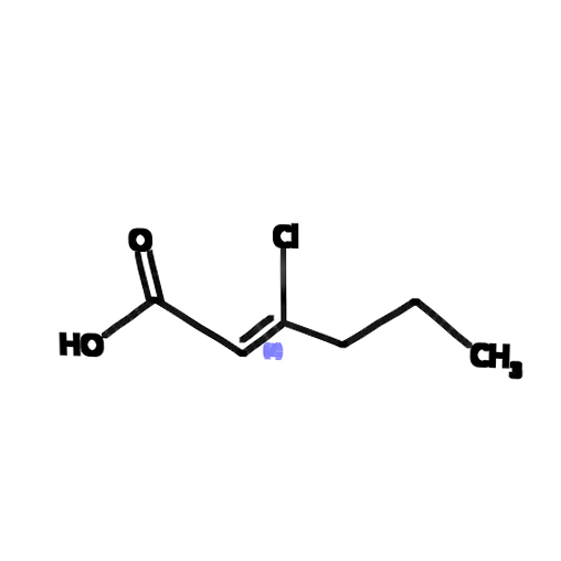 CCC/C(Cl)=C/C(=O)O